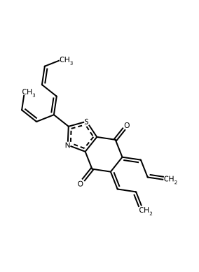 C=C/C=C1/C(=O)c2nc(C(/C=C\C)=C/C=C\C)sc2C(=O)/C1=C/C=C